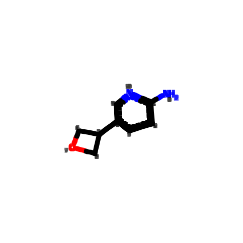 Nc1ccc(C2COC2)cn1